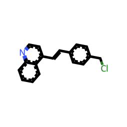 ClCc1ccc(C=Cc2ccnc3ccccc23)cc1